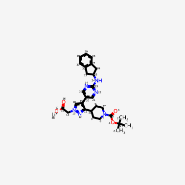 CC(C)(C)OC(=O)N1CCC(c2nn(CC(=O)[O-])cc2-c2cnc(NC3Cc4ccccc4C3)nc2)CC1.[Li+]